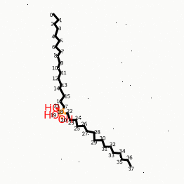 CCCCCCCCCCCCCCCCCCP(O)(O)(O)CCCCCCCCCCCCCCCC